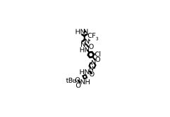 Cn1c(-c2c[nH]nc2C(F)(F)F)cnc1C(=O)Nc1ccc(C(=O)N2CCN(C(=O)NC3CC(NC(=O)OC(C)(C)C)C3)CC2)c(Cl)c1